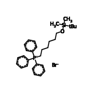 CC(C)(C)[Si](C)(C)OCCCCCC[P+](c1ccccc1)(c1ccccc1)c1ccccc1.[Br-]